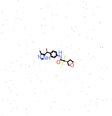 Cc1nc[nH]c1[C@@H](C)c1ccc(NC(=O)C(F)(F)[C@H]2CCOC2)cc1